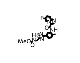 COC(=O)NCc1nc(-c2ccc(C)c(NC(=O)c3cnc4ccc(F)cn34)c2)no1